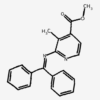 COC(=O)c1ccnc(N=C(c2ccccc2)c2ccccc2)c1C